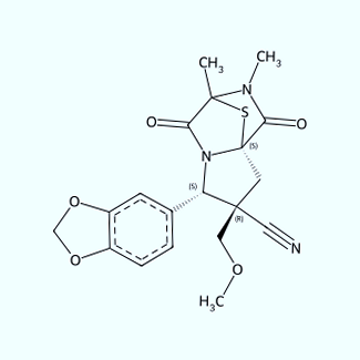 COC[C@]1(C#N)C[C@@]23SC(C)(C(=O)N2[C@H]1c1ccc2c(c1)OCO2)N(C)C3=O